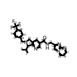 CC(C)C1c2ncc(C(=O)NCc3cn4cccnc4n3)cc2CN1Cc1ccc(C(F)(F)F)cc1